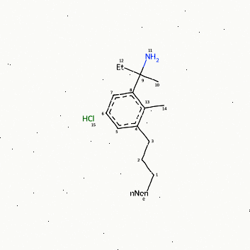 CCCCCCCCCCCCc1cccc(C(C)(N)CC)c1C.Cl